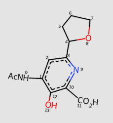 CC(=O)Nc1cc(C2CCCO2)nc(C(=O)O)c1O